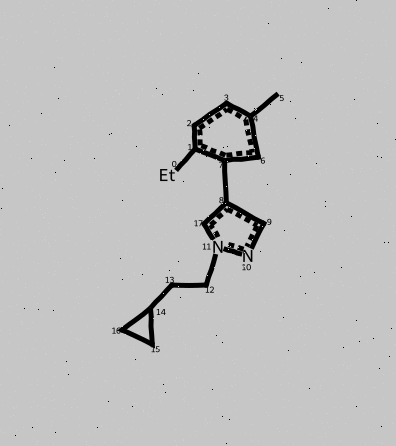 CCc1ccc(C)cc1-c1cnn(CCC2CC2)c1